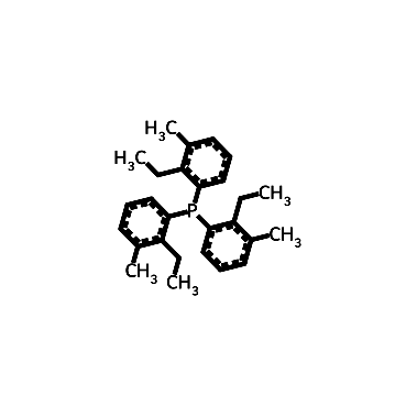 CCc1c(C)cccc1P(c1cccc(C)c1CC)c1cccc(C)c1CC